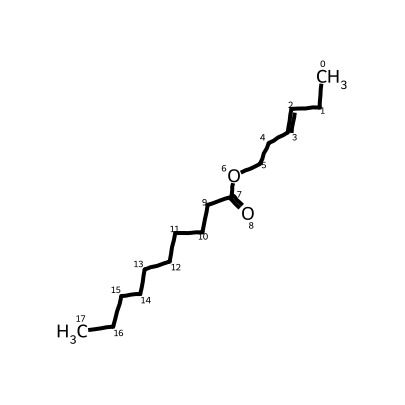 CCC=CCCOC(=O)CCCCCCCCC